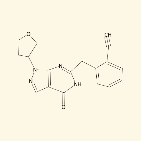 C#Cc1ccccc1Cc1nc2c(cnn2C2CCOC2)c(=O)[nH]1